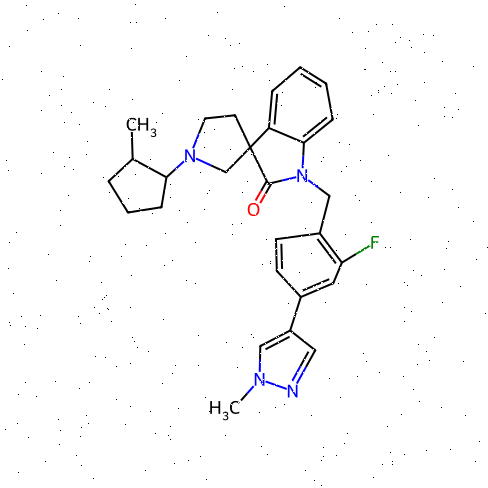 CC1CCCC1N1CCC2(C1)C(=O)N(Cc1ccc(-c3cnn(C)c3)cc1F)c1ccccc12